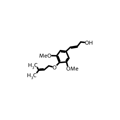 COc1cc(/C=C/CO)cc(OC)c1OCC=C(C)C